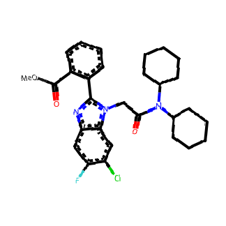 COC(=O)c1ccccc1-c1nc2cc(F)c(Cl)cc2n1CC(=O)N(C1CCCCC1)C1CCCCC1